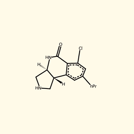 CCCc1cc(Cl)c2c(c1)[C@@H]1CNC[C@H]1NC2=O